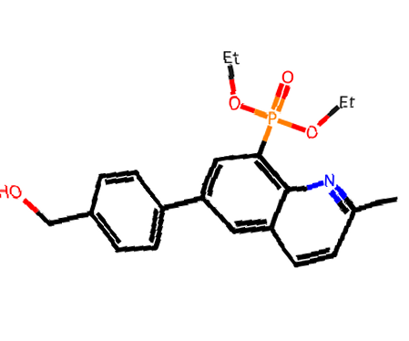 CCOP(=O)(OCC)c1cc(-c2ccc(CO)cc2)cc2ccc(C)nc12